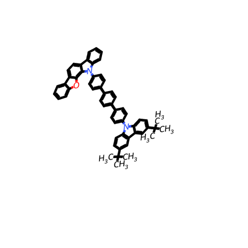 CC(C)(C)c1ccc2c(c1)c1cc(C(C)(C)C)ccc1n2-c1ccc(-c2ccc(-c3ccc(-n4c5ccccc5c5ccc6c7ccccc7oc6c54)cc3)cc2)cc1